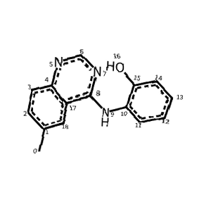 Cc1ccc2ncnc(Nc3ccccc3O)c2c1